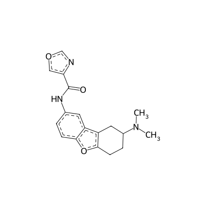 CN(C)C1CCc2oc3ccc(NC(=O)c4cocn4)cc3c2C1